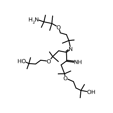 CC(C)(O)CCOC(C)(C)CC(=N)/C(CC(C)(C)OCCC(C)(C)O)=N/C(C)(C)CCOC(C)(C)C(C)(C)N